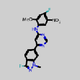 COc1cc(F)c([N+](=O)[O-])cc1Nc1cc(-c2ccc3c(F)nn(C)c3c2)ncn1